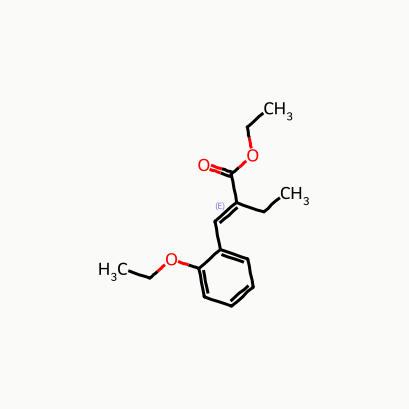 CCOC(=O)/C(=C/c1ccccc1OCC)CC